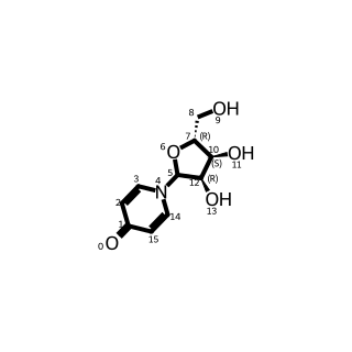 O=c1ccn(C2O[C@H](CO)[C@@H](O)[C@H]2O)cc1